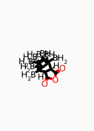 BC1=C(B)C2(B)[C@H]3C(=O)OC(=O)[C@H]3C1(B)C(B)(B)C2(B)B